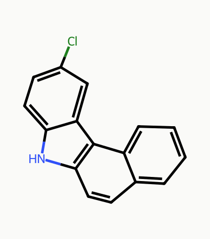 Clc1ccc2[nH]c3ccc4ccccc4c3c2c1